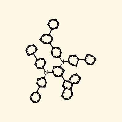 c1ccc(-c2ccc(N(c3ccc(-c4ccccc4)cc3)c3cc(-c4cc5ccccc5c5ccccc45)cc(N(c4ccc(-c5ccccc5)cc4)c4ccc(-c5cccc(-c6ccccc6)c5)cc4)c3)cc2)cc1